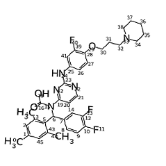 Cc1cc(C)c(C(c2ccc(F)c(F)c2)N(C(=O)O)c2ccnc(Nc3ccc(OCCCN4CCCCC4)c(F)c3)n2)c(C)c1